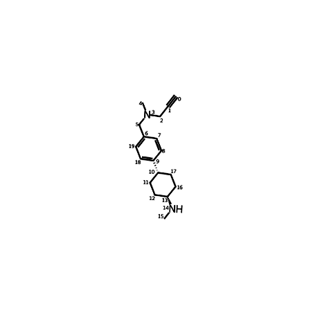 C#CCN(C)Cc1ccc([C@H]2CC[C@H](NC)CC2)cc1